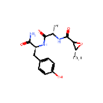 CCC[C@H](NC(=O)C1O[C@@H]1C(=O)O)C(=O)N[C@@H](Cc1ccc(O)cc1)C(N)=O